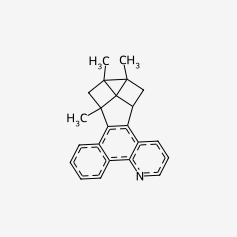 CC12CC3(C)C4(C)CC(c5c1c1ccccc1c1ncccc51)C243